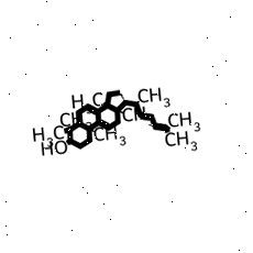 CC(C)=CC=C[C@@H](C)[C@H]1CC[C@@]2(C)C3=CCC4C(C)(C)C(O)CC[C@]4(C)C3=CC[C@]12C